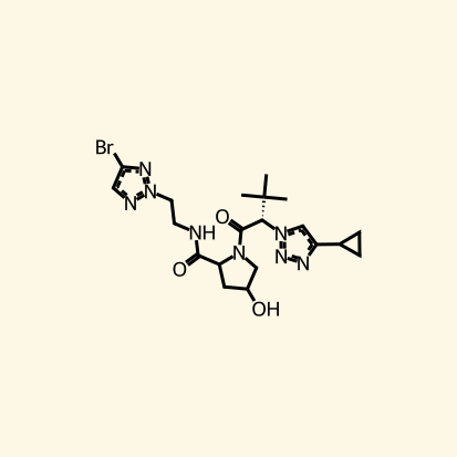 CC(C)(C)[C@@H](C(=O)N1CC(O)CC1C(=O)NCCn1ncc(Br)n1)n1cc(C2CC2)nn1